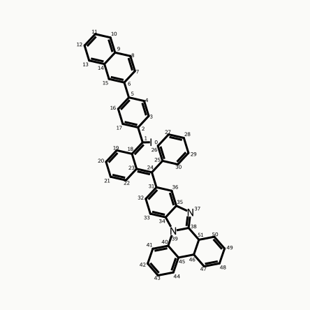 I/C(c1ccc(-c2ccc3ccccc3c2)cc1)=c1/cccc/c1=C(/c1ccccc1)c1ccc2c(c1)nc1n2-c2ccccc2C2C=CC=CC12